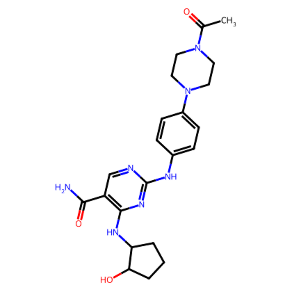 CC(=O)N1CCN(c2ccc(Nc3ncc(C(N)=O)c(NC4CCCC4O)n3)cc2)CC1